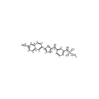 CS(=O)(=O)Nc1cccc(Nc2ncc(-c3ccc4c[n+](O)ccc4c3)o2)c1